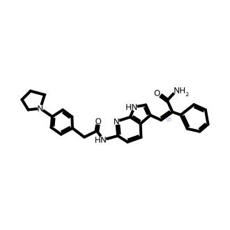 NC(=O)/C(=C\c1c[nH]c2nc(NC(=O)Cc3ccc(N4CCCC4)cc3)ccc12)c1ccccc1